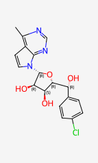 Cc1ncnc2c1ccn2[C@@H]1O[C@H]([C@H](O)c2ccc(Cl)cc2)[C@@H](O)[C@H]1O